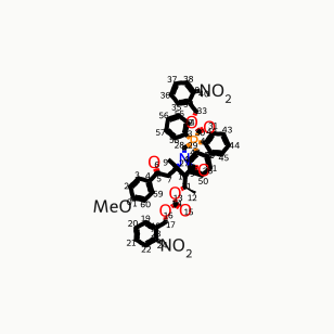 COc1ccc(C(=O)CC2(C)C([C@@H](C)OC(=O)OCc3ccccc3[N+](=O)[O-])C(=O)N2CP(C(=O)OCc2ccccc2[N+](=O)[O-])(c2ccccc2)(c2ccccc2)c2ccccc2)cc1